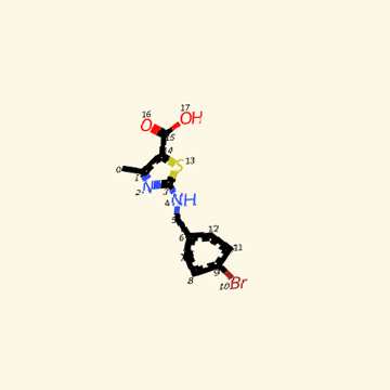 Cc1nc(NCc2ccc(Br)cc2)sc1C(=O)O